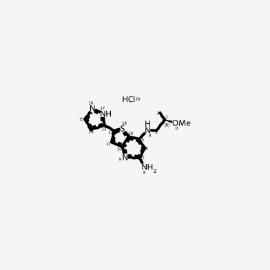 CO[C@H](C)CNc1cc(N)nc2cc(-c3ccn[nH]3)sc12.Cl